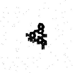 Nc1nc(NC2Cc3ccccc3N(Cc3ccc(F)c(F)c3)C2)c2cn[nH]c2n1